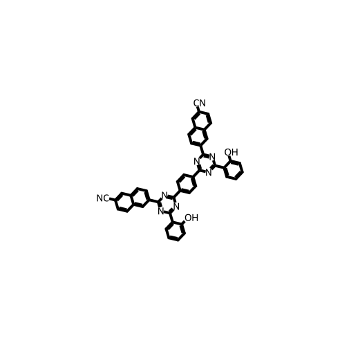 N#Cc1ccc2cc(-c3nc(-c4ccc(-c5nc(-c6ccc7cc(C#N)ccc7c6)nc(-c6ccccc6O)n5)cc4)nc(-c4ccccc4O)n3)ccc2c1